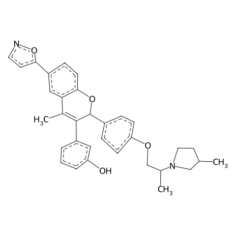 CC1=C(c2cccc(O)c2)C(c2ccc(OCC(C)N3CCC(C)C3)cc2)Oc2ccc(-c3ccno3)cc21